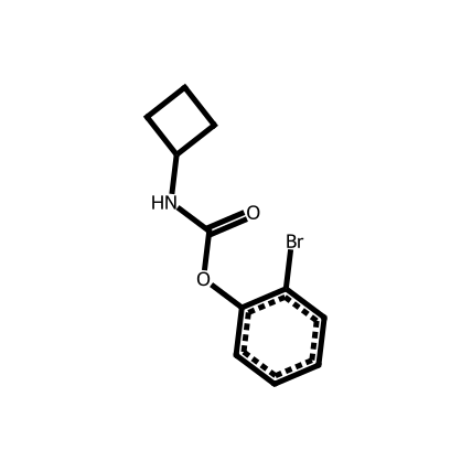 O=C(NC1CCC1)Oc1ccccc1Br